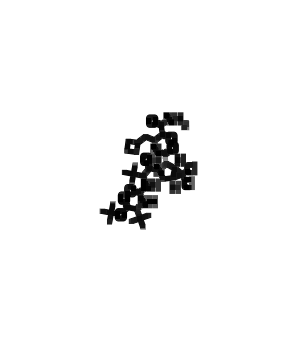 CC(C)(C)OC(=O)[C@@H](NC(=O)N[C@H](C(=O)N1C[C@H]2[C@@H]([C@H]1C(=O)NC(CC1CCC1)C(=O)C(N)=O)C2(Cl)Cl)C(C)(C)C)C(C)(C)C